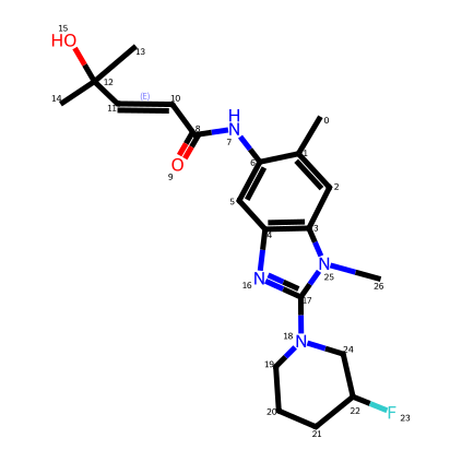 Cc1cc2c(cc1NC(=O)/C=C/C(C)(C)O)nc(N1CCCC(F)C1)n2C